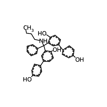 CCCCNC(c1ccccc1)(c1cc(-c2ccc(O)cc2)ccc1O)c1cc(-c2ccc(O)cc2)ccc1O